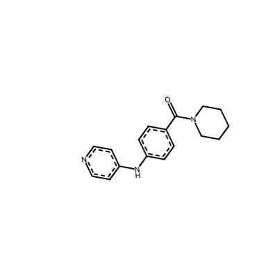 O=C(c1ccc(Nc2ccncc2)cc1)N1CCCCC1